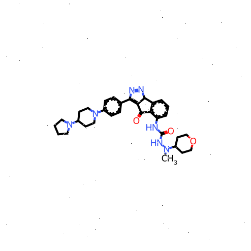 CN(NC(=O)Nc1cccc2c1C(=O)C1=C(c3ccc(N4CCC(N5CCCC5)CC4)cc3)N=NC12)C1CCOCC1